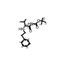 CC(C)[C@H](NCCc1ccccc1)C(=O)NC(=O)OC(C)(C)C